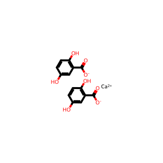 O=C([O-])c1cc(O)ccc1O.O=C([O-])c1cc(O)ccc1O.[Ca+2]